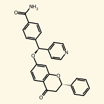 NC(=O)c1ccc([C@H](Oc2ccc3c(c2)O[C@H](c2ccccc2)CC3=O)c2ccncc2)cc1